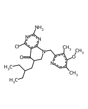 CCC(CC)CC1CN(Cc2ncc(C)c(OC)c2C)c2nc(N)nc(Cl)c2C1=O